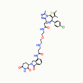 Cc1sc2c(c1C)C(c1ccc(Cl)cc1)=N[C@@H](CC(=O)NCCOCCNCCC(=O)Nc1cccc3c1CN(C1CCC(=O)NC1=O)C3=O)c1nnc(C)n1-2